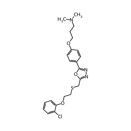 CN(C)CCCOc1ccc(-c2nnc(CSCCOc3ccccc3Cl)o2)cc1